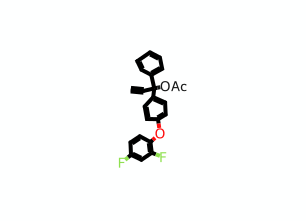 C#CC(OC(C)=O)(c1ccccc1)c1ccc(Oc2ccc(F)cc2F)cc1